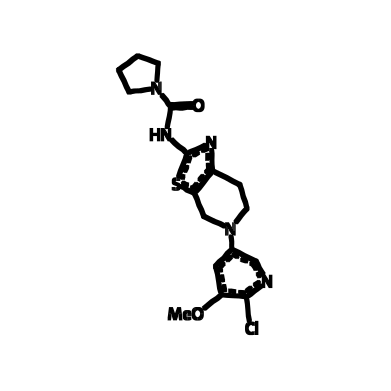 COc1cc(N2CCc3nc(NC(=O)N4CCCC4)sc3C2)cnc1Cl